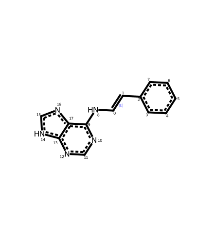 C(=C\c1ccccc1)/Nc1ncnc2[nH]cnc12